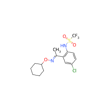 C/C(=N\OC1CCCCC1)c1cc(Cl)ccc1NS(=O)(=O)C(F)(F)F